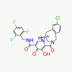 O=C(NCc1c(F)cc(F)cc1F)c1cn2c(c(O)c1=O)C(=O)N1Cc3ccc(Cl)cc3C[C@@H]2C1